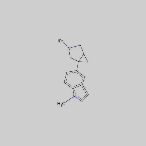 CC(C)N1CC2CC2(c2ccc3c(ccn3C)c2)C1